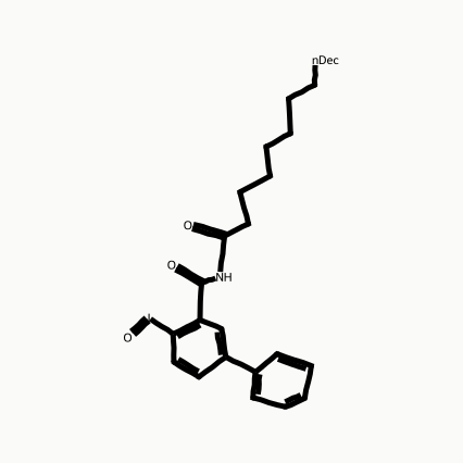 CCCCCCCCCCCCCCCCCC(=O)NC(=O)c1cc(-c2ccccc2)ccc1I=O